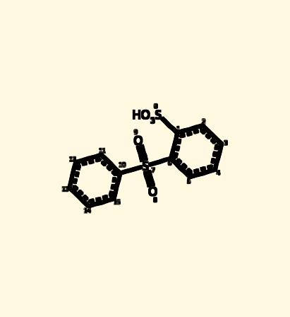 O=S(=O)(O)c1ccc[c]c1S(=O)(=O)c1ccccc1